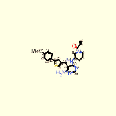 C=CC(=O)N1CCCC(n2nc(-c3csc(-c4ccc(OC)cc4)c3)c3c(N)ncnc32)C1